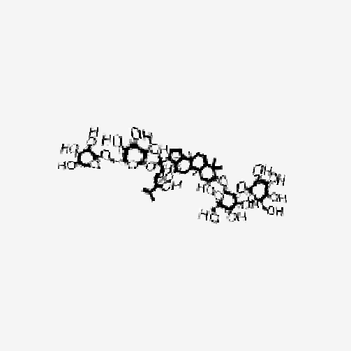 C=C(C)C(O)CCC(C)(O[C@@H]1O[C@H](CO[C@@H]2OC[C@@H](O)[C@H](O)[C@H]2O)[C@@H](O)[C@H](O)[C@H]1O)[C@H]1CC[C@]2(C)[C@@H]1[C@H](O)CC1[C@@]3(C)C[C@@H](O)[C@H](O[C@@H]4O[C@H](CO)[C@@H](O)[C@H](O)[C@H]4O[C@@H]4O[C@H](CO)[C@@H](O)[C@H](O)[C@H]4O)C(C)(C)C3CC[C@]12C